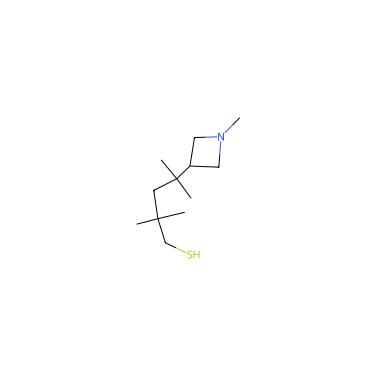 CN1CC(C(C)(C)CC(C)(C)CS)C1